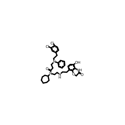 O=C1COc2c(CCNCCN(C(=O)CCN(CCc3ccc(Cl)c(Cl)c3)c3ccccc3)C3CCCCCC3)ccc(O)c2N1